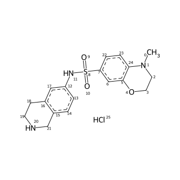 CN1CCOc2cc(S(=O)(=O)Nc3ccc4c(c3)CCNC4)ccc21.Cl